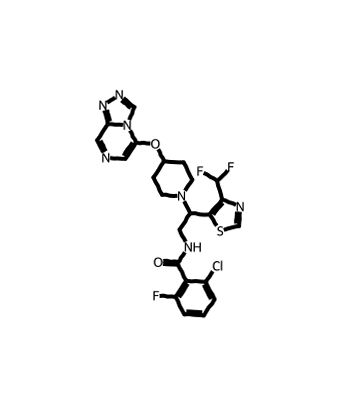 O=C(NCC(c1scnc1C(F)F)N1CCC(Oc2cncc3nncn23)CC1)c1c(F)cccc1Cl